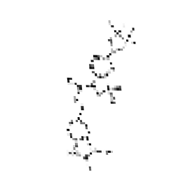 CCN(/N=C/c1ccc2[nH]c(=O)n(C(C)C)c2c1)C1=NS(=O)(=O)c2cc(B3OC(C)(C)C(C)(C)O3)ccc21